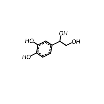 OCC(O)c1ccc(O)c(O)c1